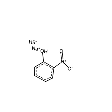 O=[N+]([O-])c1ccccc1O.[Na+].[SH-]